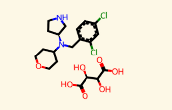 Clc1ccc(CN(C2CCOCC2)[C@H]2CCNC2)c(Cl)c1.O=C(O)C(O)C(O)C(=O)O